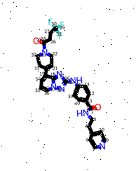 O=C(NCCc1ccncc1)c1ccc(Nc2nc3c(C4=CCN(C(=O)CCC(F)(F)F)CC4)cccn3n2)cc1